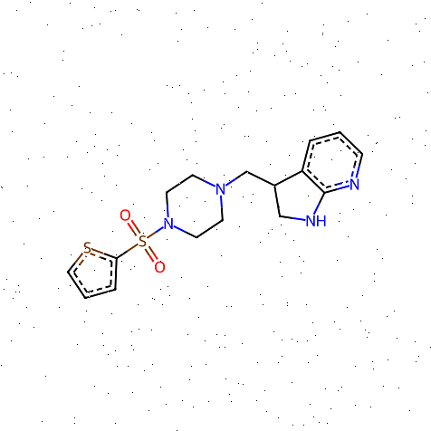 O=S(=O)(c1cccs1)N1CCN(CC2CNc3ncccc32)CC1